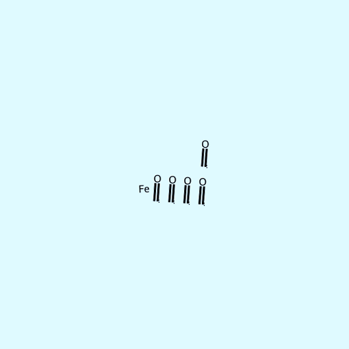 [C]=O.[C]=O.[C]=O.[C]=O.[C]=O.[Fe]